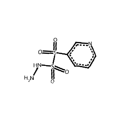 NNS(=O)(=O)S(=O)(=O)c1cccnc1